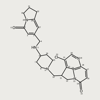 O=c1cc(CNC2CCN(CC3Cn4c(=O)ccc5ncc(Cl)c3c54)CC2)cc2n1CCC2